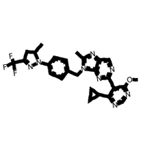 COc1ncnc(C2CC2)c1-c1ncc2nc(C)n(Cc3ccc(N4N=C(C(F)(F)F)CC4C)cc3)c2n1